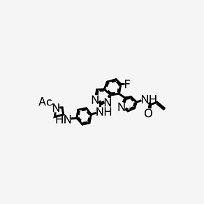 C=CC(=O)Nc1ccnc(-c2c(F)ccc3cnc(Nc4ccc(NC5CN(C(C)=O)C5)cc4)nc23)c1